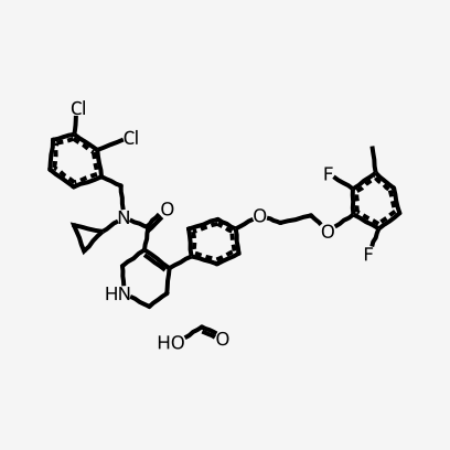 Cc1ccc(F)c(OCCOc2ccc(C3=C(C(=O)N(Cc4cccc(Cl)c4Cl)C4CC4)CNCC3)cc2)c1F.O=CO